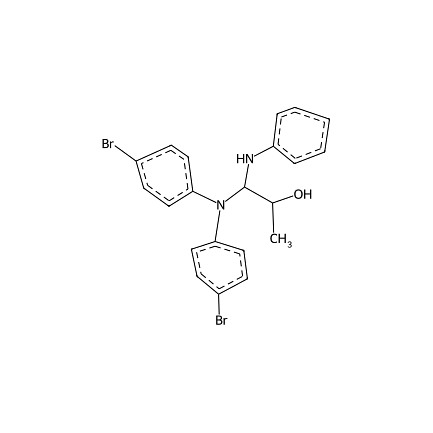 CC(O)C(Nc1ccccc1)N(c1ccc(Br)cc1)c1ccc(Br)cc1